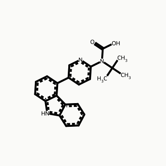 CC(C)(C)N(C(=O)O)c1ccc(-c2cccc3[nH]c4ccccc4c23)cn1